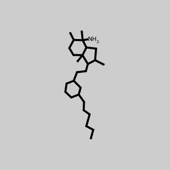 CCCCCCC1CCCC(CCC2C(C)CC3C(C)(N)C(C)CCC23C)C1